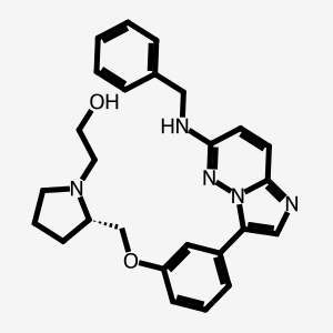 OCCN1CCC[C@H]1COc1cccc(-c2cnc3ccc(NCc4ccccc4)nn23)c1